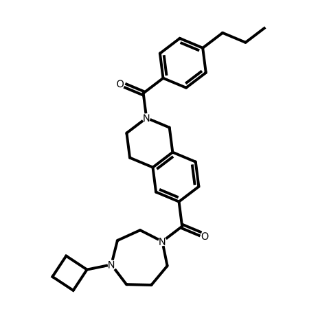 CCCc1ccc(C(=O)N2CCc3cc(C(=O)N4CCCN(C5CCC5)CC4)ccc3C2)cc1